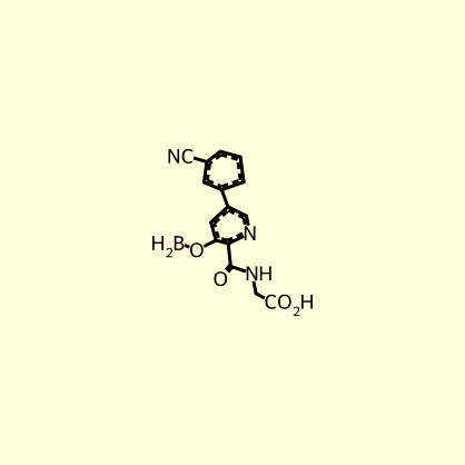 BOc1cc(-c2cccc(C#N)c2)cnc1C(=O)NCC(=O)O